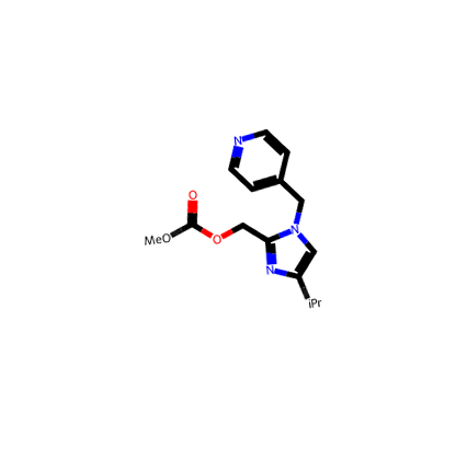 COC(=O)OCc1nc(C(C)C)cn1Cc1ccncc1